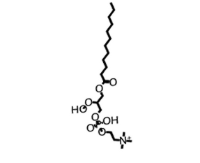 CCCCCCCCCCCC(=O)OCC(COP(=O)(O)OCC[N+](C)(C)C)OO